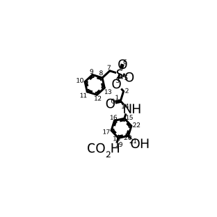 O=C(COS(=O)(=O)Cc1ccccc1)Nc1ccc(C(=O)O)c(O)c1